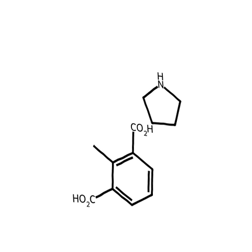 C1CCNC1.Cc1c(C(=O)O)cccc1C(=O)O